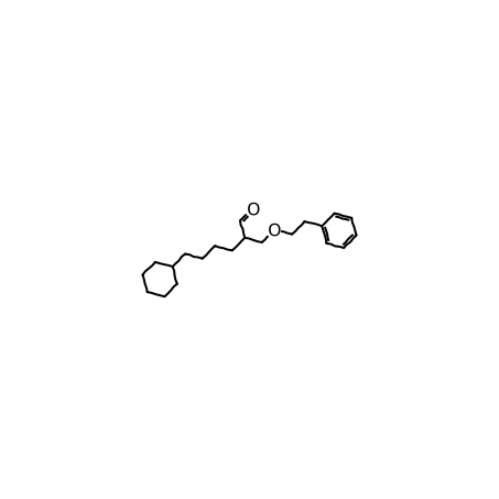 O=CC(CCCCC1CCCCC1)COCCc1ccccc1